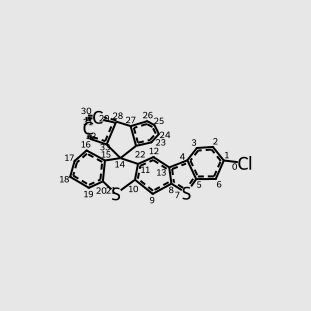 Clc1ccc2c(c1)sc1cc3c(cc12)C1(c2ccccc2S3)c2ccccc2-c2ccccc21